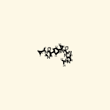 CC(C1CC1)n1cncc(-c2ccc(C3(NC(=O)c4ncc5cnn(C(C)C)c5n4)CC3)cc2)c1=O